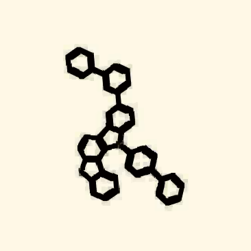 c1ccc(-c2ccc(-n3c4ccc(-c5cccc(-c6ccccc6)c5)cc4c4ccc5sc6ccccc6c5c43)cc2)cc1